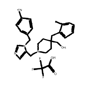 Cc1ccccc1CC1(CO)CCN(Cc2cncn2Cc2ccc(C#N)cc2)CC1.O=C(O)C(F)(F)F